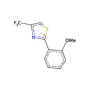 COc1ccccc1-c1nc(C(F)(F)F)cs1